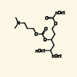 CCCCCCCCC(=O)OCCC(CC(CCCCCCCC)CCCCCCCC)OC(=O)OCCCN(C)C